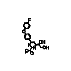 COC(=O)c1nc(-c2ccc(Oc3ccc(F)cc3)cc2)cc([C@@H](O)CO)n1